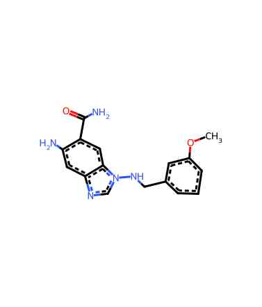 COc1cccc(CNn2cnc3cc(N)c(C(N)=O)cc32)c1